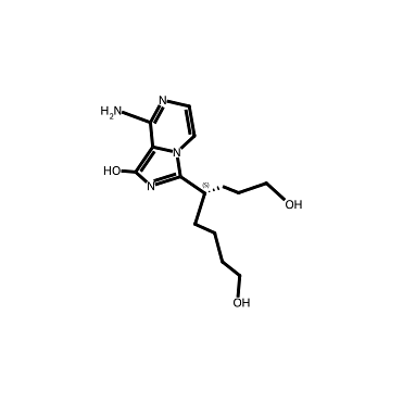 Nc1nccn2c([C@H](CCCO)CCCCO)nc(O)c12